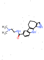 CN(C)CCNC(=O)c1ccc2[nH]c3c(c2c1)CCCc1cn[nH]c1-3